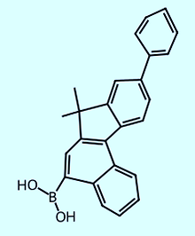 CC1(C)c2cc(-c3ccccc3)ccc2-c2c1cc(B(O)O)c1ccccc21